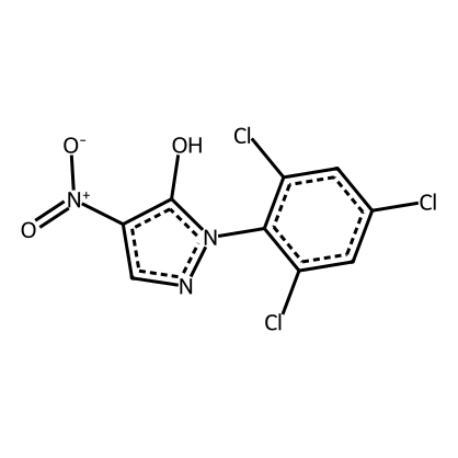 O=[N+]([O-])c1cnn(-c2c(Cl)cc(Cl)cc2Cl)c1O